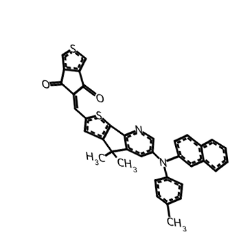 Cc1ccc(N(c2cnc3c(c2)C(C)(C)c2cc(C=C4C(=O)c5cscc5C4=O)sc2-3)c2ccc3ccccc3c2)cc1